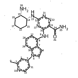 Cc1cc(-n2ccc3c(Nc4nc(N[C@@H]5CCCC[C@@H]5N)nnc4C(N)=O)cccc32)ccn1